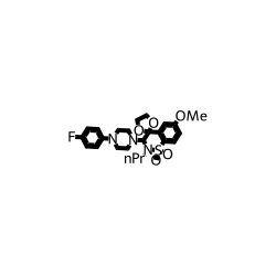 CCCN1C(N2CCN(c3ccc(F)cc3)CC2)C2(OCCO2)c2cc(OC)ccc2S1(=O)=O